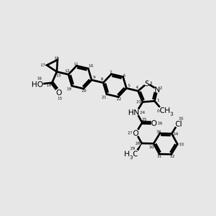 Cc1nsc(-c2ccc(-c3ccc(C4(C(=O)O)CC4)cc3)cc2)c1NC(=O)O[C@H](C)c1cccc(Cl)c1